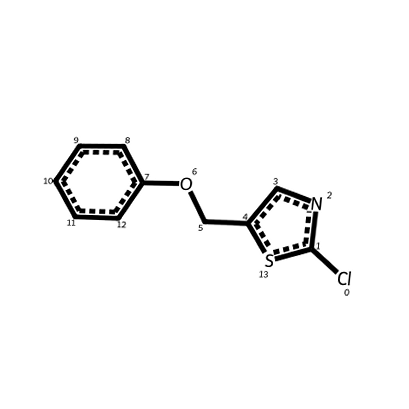 Clc1ncc(COc2cc[c]cc2)s1